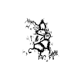 CCOC(=O)C1=C(C)[C@@H](C)c2c1c(OC)cc1c2[C@H]2CC[C@]3(C)[C@@H](OC)CC[C@H]3[C@@H]2CC1